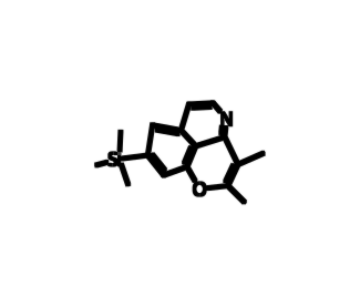 CC1=C(C)c2nccc3cc([Si](C)(C)C)cc(c23)O1